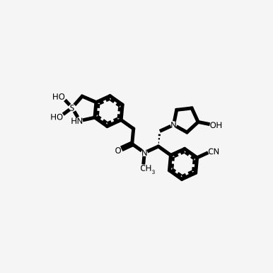 CN(C(=O)Cc1ccc2c(c1)NS(O)(O)C2)[C@H](CN1CCC(O)C1)c1cccc(C#N)c1